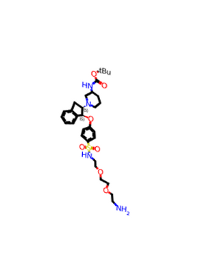 CC(C)(C)OC(=O)NC1CCCN([C@H]2Cc3ccccc3[C@@H]2Oc2ccc(S(=O)(=O)NCCOCCOCCN)cc2)C1